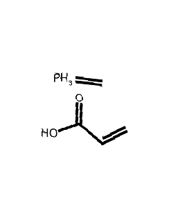 C=C.C=CC(=O)O.P